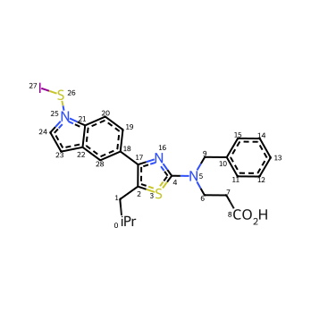 CC(C)Cc1sc(N(CCC(=O)O)Cc2ccccc2)nc1-c1ccc2c(ccn2SI)c1